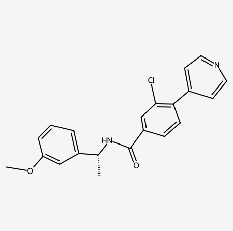 COc1cccc([C@@H](C)NC(=O)c2ccc(-c3ccncc3)c(Cl)c2)c1